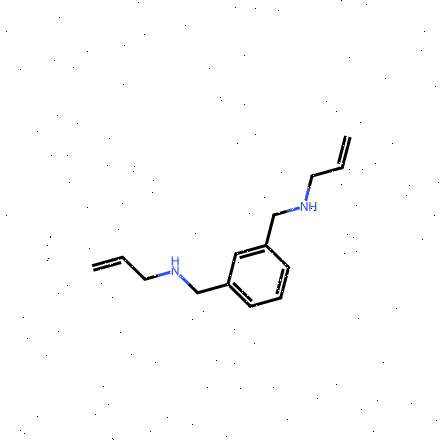 C=CCNCc1cccc(CNCC=C)c1